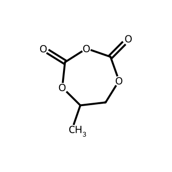 CC1COC(=O)OC(=O)O1